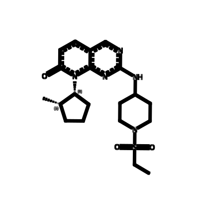 CCS(=O)(=O)N1CCC(Nc2ncc3ccc(=O)n([C@@H]4CCC[C@@H]4C)c3n2)CC1